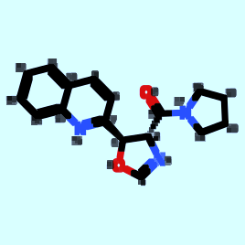 O=C([C@@H]1N=CO[C@H]1c1ccc2ccccc2n1)N1CCCC1